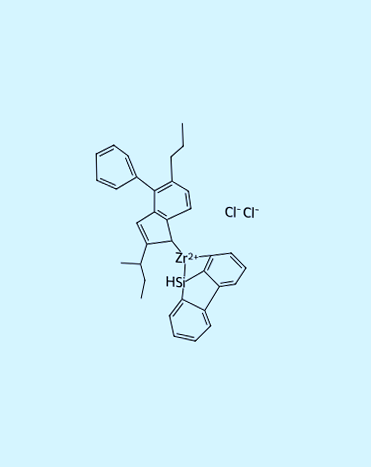 CCCc1ccc2c(c1-c1ccccc1)C=C(C(C)CC)[CH]2[Zr+2]1[c]2cccc3c2[SiH]1c1ccccc1-3.[Cl-].[Cl-]